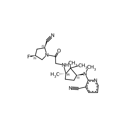 CN(c1ncccc1C#N)[C@H]1CC[C@@](C)(NCC(=O)N2C[C@@H](F)C[C@H]2C#N)C1(C)C